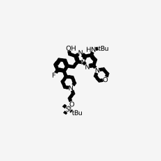 CC(C)(C)Nc1cc(N2CCOCC2)nn2c(Cc3cccc(F)c3C3CCN(CCO[Si](C)(C)C(C)(C)C)CC3)c(CO)nc12